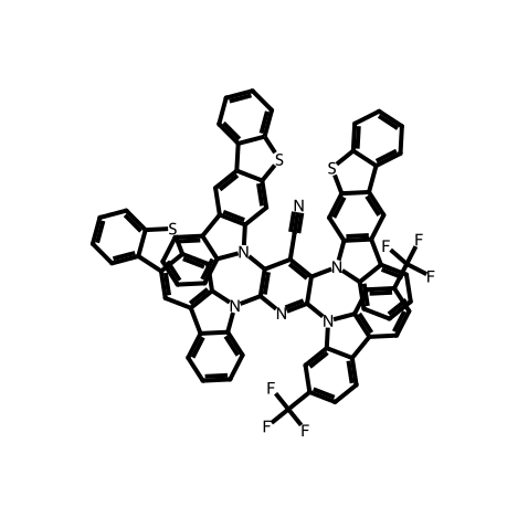 N#Cc1c(-n2c3ccccc3c3cc4c(cc32)sc2ccccc24)c(-n2c3cc(C(F)(F)F)ccc3c3ccc(C(F)(F)F)cc32)nc(-n2c3ccccc3c3cc4c(cc32)sc2ccccc24)c1-n1c2ccccc2c2cc3c(cc21)sc1ccccc13